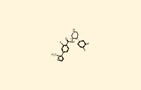 Cn1nccc1-c1ccc(C(=O)N[C@H]2CNCC[C@@H]2c2ccc(F)c(F)c2)c(F)c1